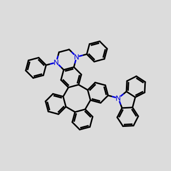 c1ccc(N2CCN(c3ccccc3)c3cc4c(cc32)-c2ccccc2-c2ccccc2-c2cc(-n3c5ccccc5c5ccccc53)ccc2-4)cc1